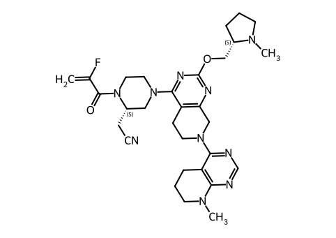 C=C(F)C(=O)N1CCN(c2nc(OC[C@@H]3CCCN3C)nc3c2CCN(c2ncnc4c2CCCN4C)C3)C[C@@H]1CC#N